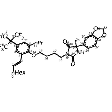 CCCCCC/C=C/c1cc(C(O)(C(F)(F)F)C(F)(F)F)cc(CCC)c1OCCCCN1C(=O)NC(C)(c2ccc3c(c2)OCO3)C1=O